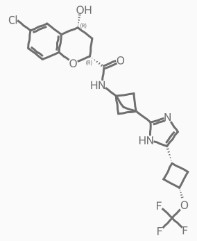 O=C(NC12CC(c3ncc([C@H]4C[C@@H](OC(F)(F)F)C4)[nH]3)(C1)C2)[C@H]1C[C@@H](O)c2cc(Cl)ccc2O1